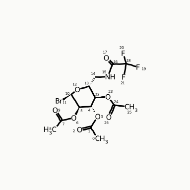 CC(=O)O[C@@H]1[C@@H](OC(C)=O)[C@@H](Br)O[C@H](CNC(=O)C(F)(F)F)[C@H]1OC(C)=O